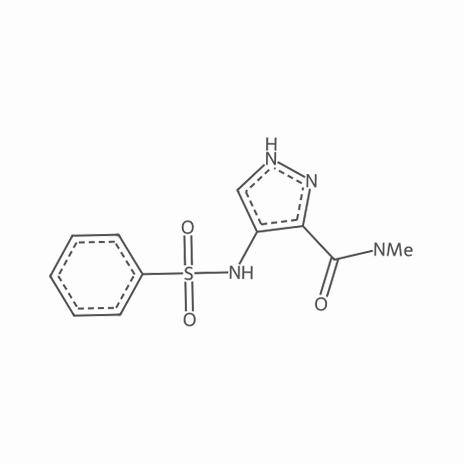 CNC(=O)c1n[nH]cc1NS(=O)(=O)c1ccccc1